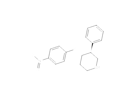 O=[N+]([O-])c1ccc(O[C@H]2CCNC[C@@H]2c2ccccc2)cc1